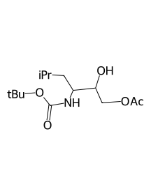 CC(=O)OCC(O)C(CC(C)C)NC(=O)OC(C)(C)C